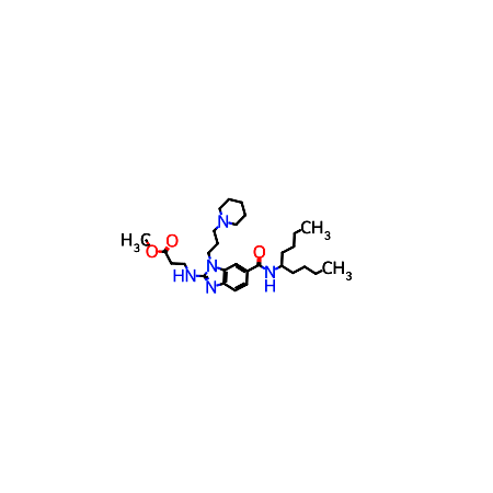 CCCCC(CCCC)NC(=O)c1ccc2nc(NCCC(=O)OC)n(CCCN3CCCCC3)c2c1